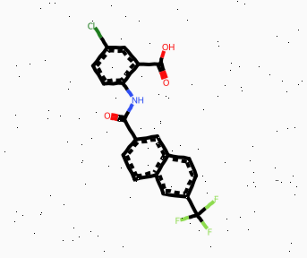 O=C(Nc1ccc(Cl)cc1C(=O)O)c1ccc2cc(C(F)(F)F)ccc2c1